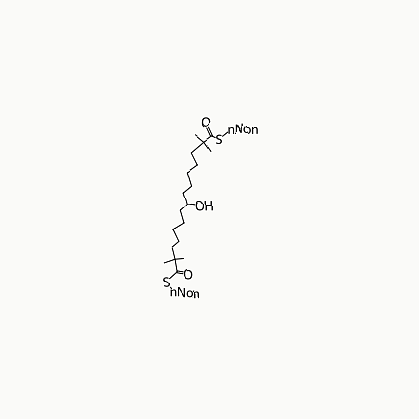 CCCCCCCCCSC(=O)C(C)(C)CCCCCC(O)CCCCCC(C)(C)C(=O)SCCCCCCCCC